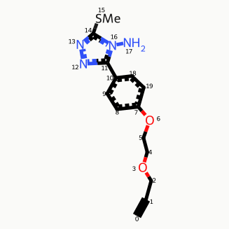 C#CCOCCOc1ccc(-c2nnc(SC)n2N)cc1